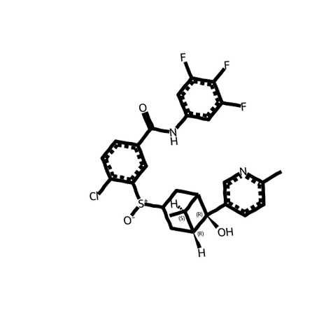 Cc1ccc([C@@]2(O)C3CC([S+]([O-])c4cc(C(=O)Nc5cc(F)c(F)c(F)c5)ccc4Cl)C[C@@H]2[C@H]3C)cn1